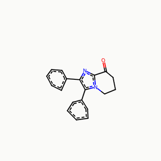 O=C1CCCn2c1nc(-c1ccccc1)c2-c1ccccc1